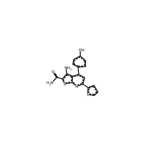 NC(=O)c1sc2nc(-c3cccs3)cc(-c3ccc(O)cc3)c2c1N